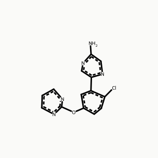 Nc1cnc(-c2cc(Oc3ncccn3)ccc2Cl)cn1